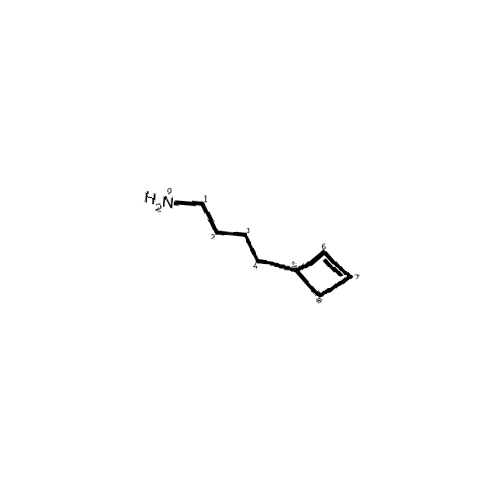 NCCCCC1C=CC1